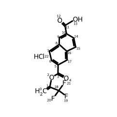 C=C(OC(=O)c1ccc2cc(C(=O)O)ccc2c1)C(F)(F)F.Cl